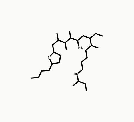 CCCCC1CCC(CC(C)C(C)C(C)C(P)CC(CC)C(C)CCCCNC(C)CC)S1